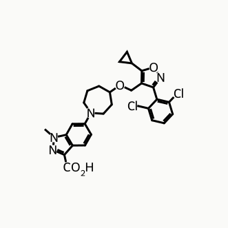 Cn1nc(C(=O)O)c2ccc(N3CCCC(OCc4c(-c5c(Cl)cccc5Cl)noc4C4CC4)CC3)cc21